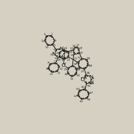 c1ccc(-c2nc(-c3ccccc3)nc(-c3cccc4c3C3(c5ccccc5Oc5ccccc53)c3cc(-c5nnc(-c6ccccc6)o5)ccc3-4)n2)cc1